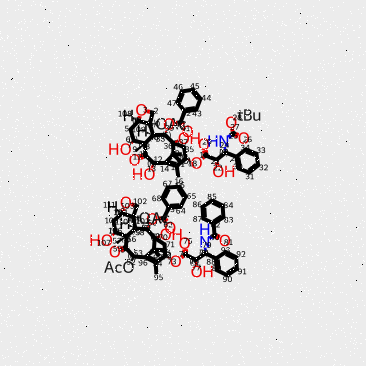 CC(=O)O[C@@]12CO[C@@H]1C[C@H](O)[C@@]1(C)C(=O)[C@H](O)C3=C(C)[C@@H](OC(=O)C(O)[C@@H](NC(=O)OC(C)(C)C)c4ccccc4)C[C@@](O)([C@@H](OC(=O)c4ccccc4)[C@H]21)C3(C)C.CC(=O)O[C@H]1C(=O)[C@@]2(C)[C@H]([C@H](OC(=O)c3ccccc3)[C@]3(O)C[C@H](OC(=O)[C@H](O)[C@@H](NC(=O)c4ccccc4)c4ccccc4)C(C)=C1C3(C)C)[C@]1(OC(C)=O)CO[C@@H]1C[C@@H]2O